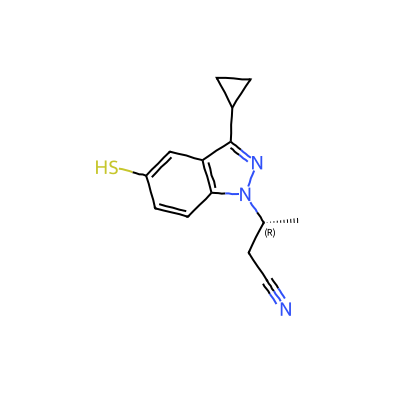 C[C@H](CC#N)n1nc(C2CC2)c2cc(S)ccc21